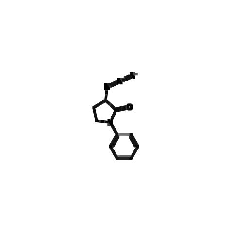 [N-]=[N+]=NC1CCN(c2ccccc2)C1=O